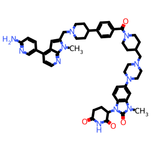 Cn1c(CN2CCC(c3ccc(C(=O)N4CCC(CN5CCN(c6ccc7c(c6)n(C)c(=O)n7C6CCC(=O)NC6=O)CC5)CC4)cc3)CC2)cc2c(-c3ccc(N)nc3)ccnc21